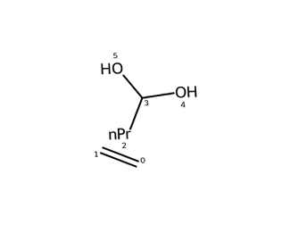 C=C.CCCC(O)O